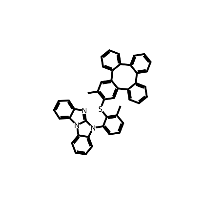 Cc1cc2c(cc1Sc1c(C)cccc1-n1c3ccccc3n3c4ccccc4nc13)-c1ccccc1-c1ccccc1-c1ccccc1-2